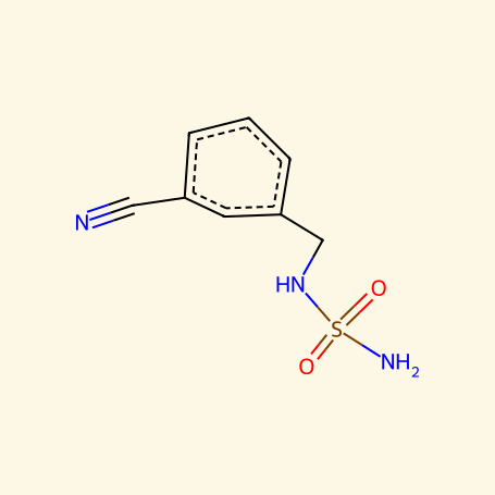 N#Cc1cccc(CNS(N)(=O)=O)c1